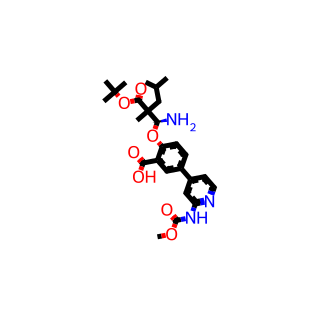 COC(=O)Nc1cc(-c2ccc(O[C@H](N)C(C)(CC(C)C)C(=O)OC(C)(C)C)c(C(=O)O)c2)ccn1